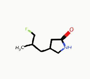 CC(CF)CC1CNC(=O)C1